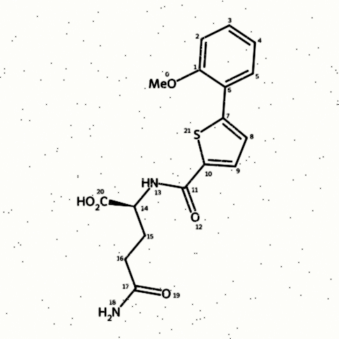 COc1ccccc1-c1ccc(C(=O)N[C@@H](CCC(N)=O)C(=O)O)s1